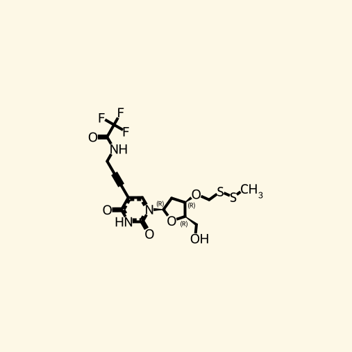 CSSCO[C@@H]1C[C@H](n2cc(C#CCNC(=O)C(F)(F)F)c(=O)[nH]c2=O)O[C@@H]1CO